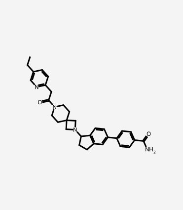 CCc1ccc(CC(=O)N2CCC3(CC2)CN(C2CCc4cc(-c5ccc(C(N)=O)cc5)ccc42)C3)nc1